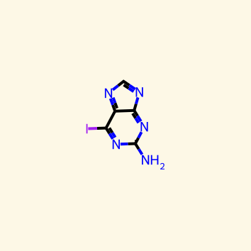 N[C]1N=C(I)C2=NC=NC2=N1